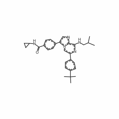 CC(C)CNc1nc(-c2ccc(C(C)(C)C)cc2)cn2c(-c3ccc(C(=O)NC4CC4)cc3)cnc12